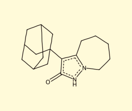 O=c1[nH]n2c(c1C13CC4CC(CC(C4)C1)C3)CCCCC2